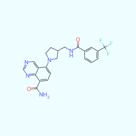 NC(=O)c1ccc(N2CCC(CNC(=O)c3cccc(C(F)(F)F)c3)C2)c2cncnc12